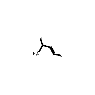 CC=CC(C)N